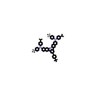 CC(C)c1ccc(N(c2ccc([Si](C)(C)C)cc2)c2ccc3cc4c5cc(-c6ccc(C(C)(C)C)cc6)cc6c7cc8ccc(N(c9ccc(C(C)C)cc9)c9ccc([Si](C)(C)C)cc9)cc8cc7n(c4cc3c2)c56)cc1